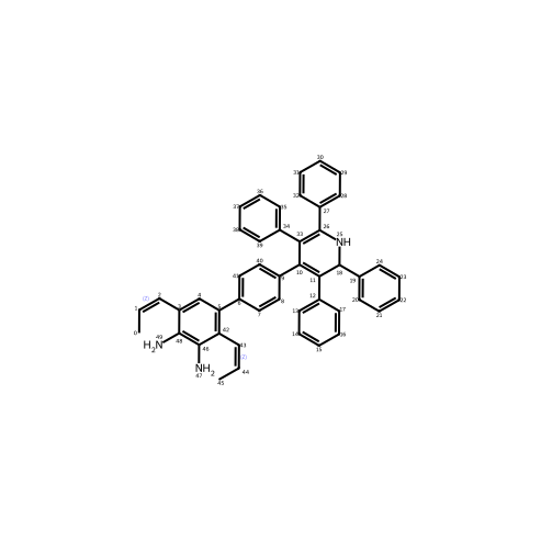 C/C=C\c1cc(-c2ccc(C3=C(c4ccccc4)C(c4ccccc4)NC(c4ccccc4)=C3c3ccccc3)cc2)c(/C=C\C)c(N)c1N